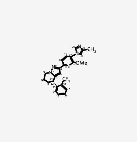 COc1nc(-c2cc3n(n2)CCC[C@H]3c2ccccc2C(F)(F)F)ccc1-n1cnc(C)c1